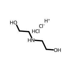 Cl.OCCNCCO.[Cl-].[H+]